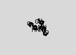 C[S+]([O-])c1cccc(-c2nc(Nc3ccc(N4CCOCC4)cc3)nc3c2ncn3C2CCCCO2)c1